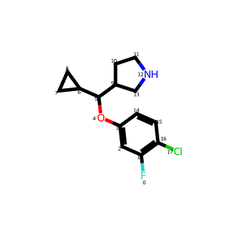 Fc1cc(OC(C2CC2)C2CCNC2)ccc1Cl